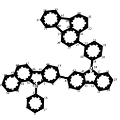 c1ccc(-n2c3cc(-c4ccc5c6ccccc6n(-c6cccc(-c7ccc8c9c(cccc79)-c7ccccc7-8)c6)c5c4)ccc3c3ccc4ccccc4c32)cc1